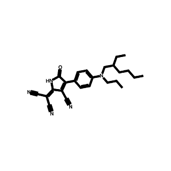 CCCCC(CC)CN(CCC)c1ccc(C2=C(C#N)C(=C(C#N)C#N)NC2=O)cc1